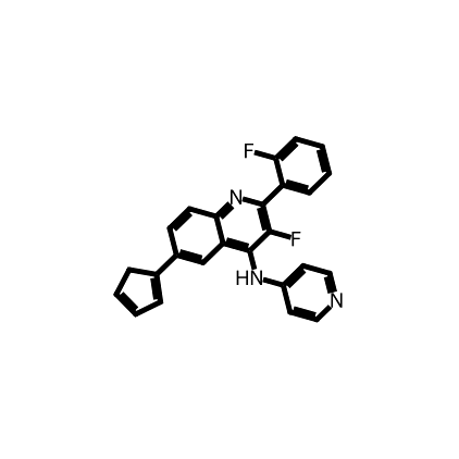 Fc1ccccc1-c1nc2ccc(C3=CC=CC3)cc2c(Nc2ccncc2)c1F